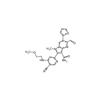 COCCNc1cc(-c2c(C(N)=O)c3nc(C=O)c(-c4ccco4)cc3n2C)ncc1C#N